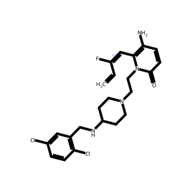 C=C/C(F)=C\c1c(N)ccc(=O)n1CCN1CCC(NCc2cc(Cl)ccc2Cl)CC1